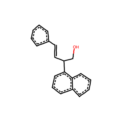 OCC(C=Cc1ccccc1)c1cccc2ccccc12